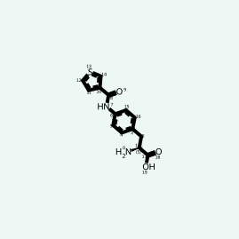 N[C@@H](Cc1ccc(NC(=O)c2ccsc2)cc1)C(=O)O